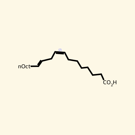 CCCCCCCCC=CC/C=C\CCCCCCC(=O)O